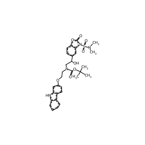 CN(C)S(=O)(=O)n1c(=O)oc2ccc(C(O)CN(CCOc3ccc4c(c3)[nH]c3ccccc34)C(=O)OC(C)(C)C)cc21